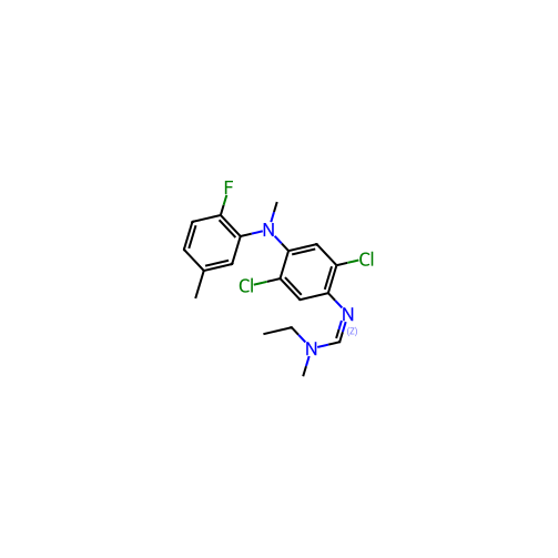 CCN(C)/C=N\c1cc(Cl)c(N(C)c2cc(C)ccc2F)cc1Cl